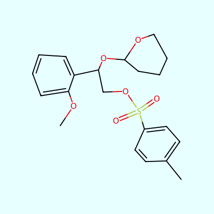 COc1ccccc1C(COS(=O)(=O)c1ccc(C)cc1)OC1CCCCO1